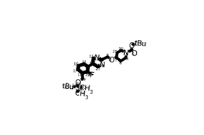 CC(C)(C)OC(=O)N1CCC(OCc2ncc(-c3cccc(CO[Si](C)(C)C(C)(C)C)c3F)cn2)CC1